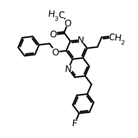 C=CCc1nc(C(=O)OC)c(OCc2ccccc2)c2ncc(Cc3ccc(F)cc3)cc12